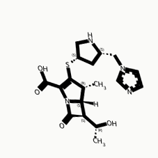 C[C@@H](O)[C@H]1C(=O)N2C(C(=O)O)=C(S[C@@H]3CN[C@H](Cn4ccnc4)C3)[C@H](C)[C@H]12